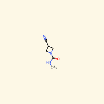 CNC(=O)N1CC(C#N)C1